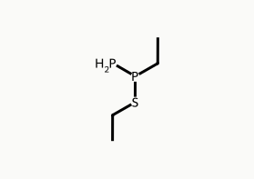 CCSP(P)CC